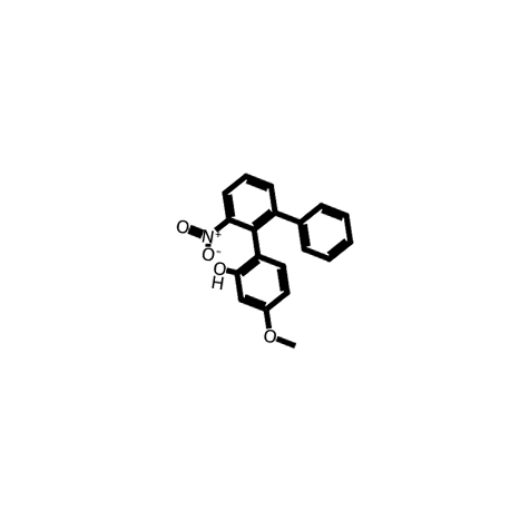 COc1ccc(-c2c(-c3ccccc3)cccc2[N+](=O)[O-])c(O)c1